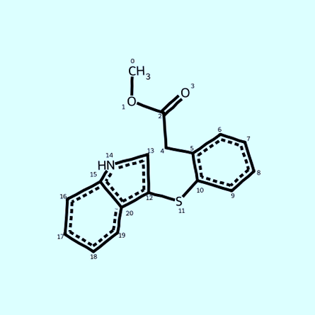 COC(=O)Cc1ccccc1Sc1c[nH]c2ccccc12